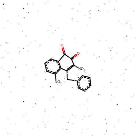 O=C1C(=O)c2cccc([N+](=O)[O-])c2C(Cc2ccccc2)=C1[N+](=O)[O-]